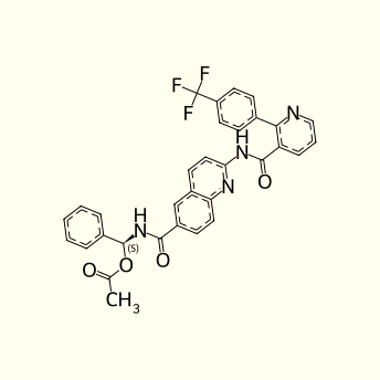 CC(=O)O[C@H](NC(=O)c1ccc2nc(NC(=O)c3cccnc3-c3ccc(C(F)(F)F)cc3)ccc2c1)c1ccccc1